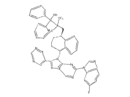 CC(C)(C[C@@H]1CCC(n2c(-c3cncnc3)nc3cnc(-n4cnc5ccc(F)cc54)nc32)c2ccccc21)[Si](O)(c1ccccc1)c1ccccc1